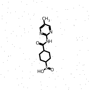 Cc1cnc(NC(=O)C2CCC(S(=O)O)CC2)nc1